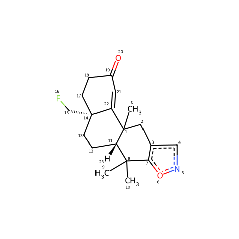 CC12Cc3cnoc3C(C)(C)[C@@H]1CC[C@@]1(CF)CCC(=O)C=C21